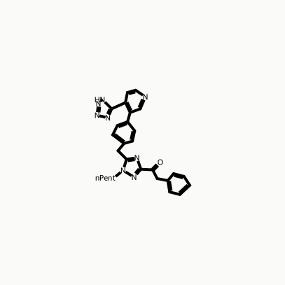 CCCCCn1nc(C(=O)Cc2ccccc2)nc1Cc1ccc(-c2cnccc2-c2nnn[nH]2)cc1